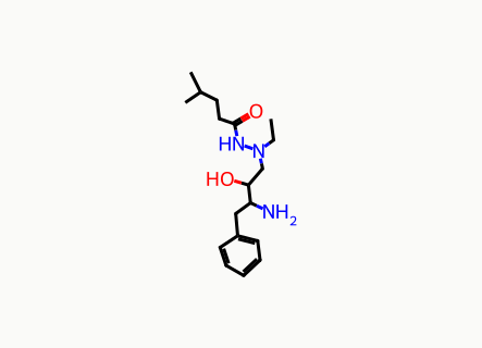 CCN(CC(O)C(N)Cc1ccccc1)NC(=O)CCC(C)C